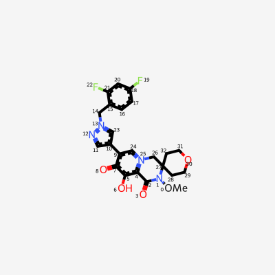 CON1C(=O)c2c(O)c(=O)c(-c3cnn(Cc4ccc(F)cc4F)c3)cn2CC12CCOCC2